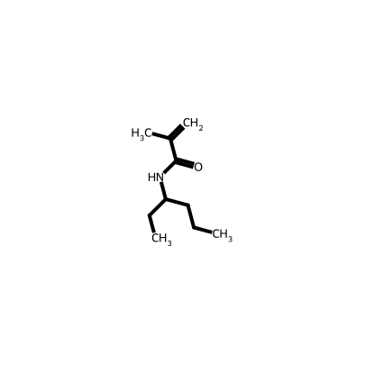 C=C(C)C(=O)NC(CC)CCC